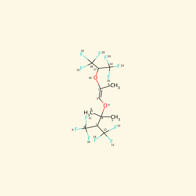 C/C(=C\OC(C)(C)C(C(F)(F)F)C(F)(F)F)OC(C(F)(F)F)C(F)(F)F